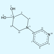 OS1(O)CCN(c2cccnc2)CC1